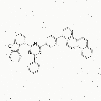 c1ccc(-c2nc(-c3ccc(-c4cccc5c4ccc4c6ccccc6ccc54)cc3)nc(-c3cccc4oc5ccccc5c34)n2)cc1